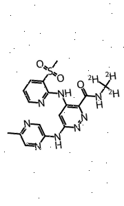 [2H]C([2H])([2H])NC(=O)c1nnc(Nc2cnc(C)cn2)cc1Nc1ncccc1S(C)(=O)=O